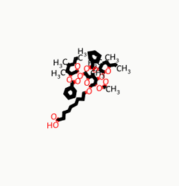 CCC1OC(OCC2OC(OCCCCCCCCC(=O)O)C(OC(C)=O)C(OC3OC(CC)C(C)C(C)C3OC(=O)c3ccccc3)C2C)C(OC(=O)c2ccccc2)C(C)C1C